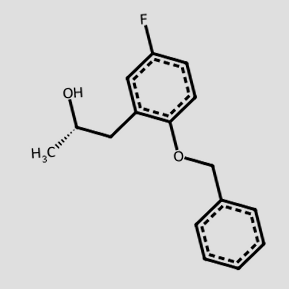 C[C@H](O)Cc1cc(F)ccc1OCc1ccccc1